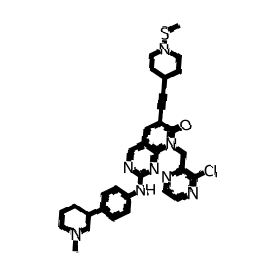 CSN1CCC(C#Cc2cc3cnc(Nc4ccc(C5CCCN(C)C5)cc4)nc3n(Cc3nccnc3Cl)c2=O)CC1